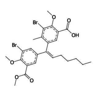 CCCCCC=C(c1cc(Br)c(OC)c(C(=O)OC)c1)c1cc(C(=O)O)c(OC)c(Br)c1C